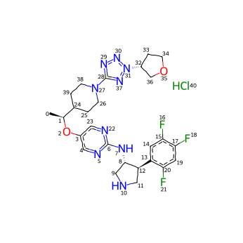 C[C@H](Oc1cnc(N[C@H]2CNC[C@@H]2c2cc(F)c(F)cc2F)nc1)C1CCN(c2nnn([C@@H]3CCOC3)n2)CC1.Cl